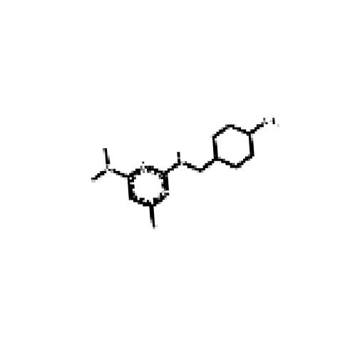 Cc1cc(N(C)C)nc(NCC2CCC(N)CC2)n1